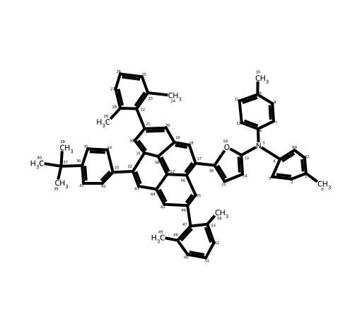 Cc1ccc(N(c2ccc(C)cc2)c2ccc(-c3cc4cc(-c5c(C)cccc5C)cc5c(-c6ccc(C(C)(C)C)cc6)cc6cc(-c7c(C)cccc7C)cc3c6c45)o2)cc1